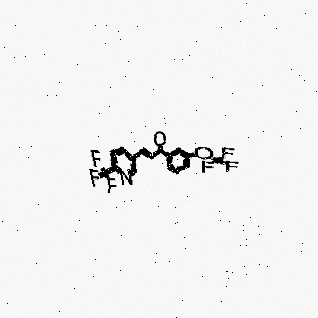 O=C(C=Cc1ccc(C(F)(F)F)nc1)c1cccc(OC(F)(F)F)c1